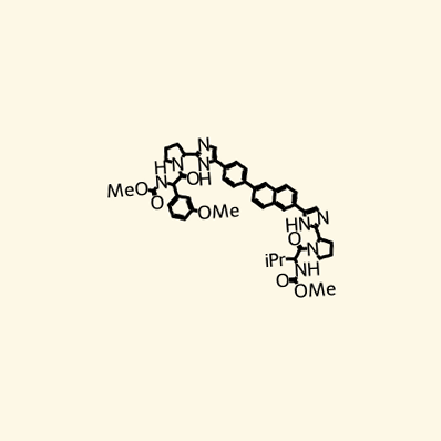 COC(=O)NC(C(=O)N1CCCC1c1ncc(-c2ccc(-c3ccc4cc(-c5cnc(C6CCCN6C(=O)C(NC(=O)OC)C(C)C)[nH]5)ccc4c3)cc2)[nH]1)c1cccc(OC)c1